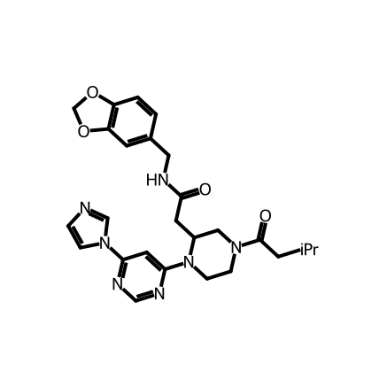 CC(C)CC(=O)N1CCN(c2cc(-n3ccnc3)ncn2)C(CC(=O)NCc2ccc3c(c2)OCO3)C1